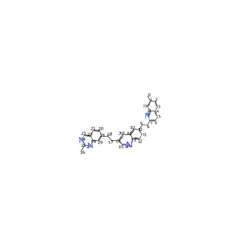 Cc1ccc2ccc(CCc3ccc4ncc(CCc5ccc6cnc(C)nc6c5)cc4c3)nc2c1